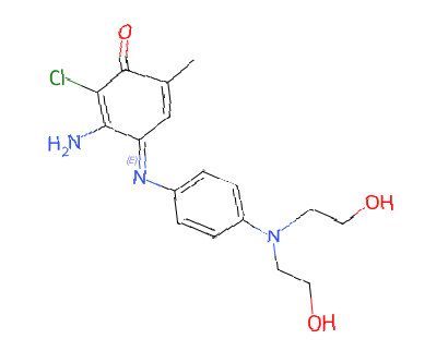 CC1=C/C(=N\c2ccc(N(CCO)CCO)cc2)C(N)=C(Cl)C1=O